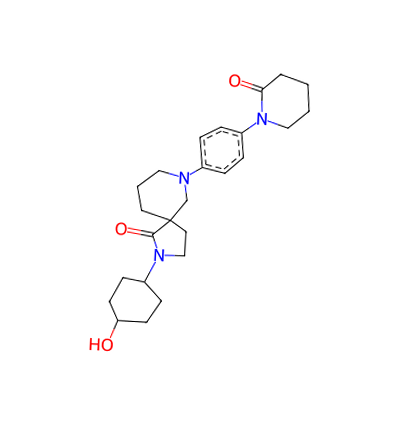 O=C1CCCCN1c1ccc(N2CCCC3(CCN(C4CCC(O)CC4)C3=O)C2)cc1